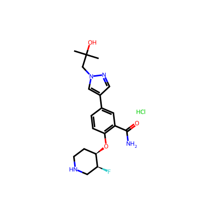 CC(C)(O)Cn1cc(-c2ccc(O[C@@H]3CCNC[C@@H]3F)c(C(N)=O)c2)cn1.Cl